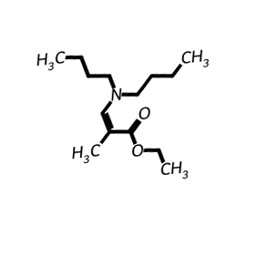 CCCCN(C=C(C)C(=O)OCC)CCCC